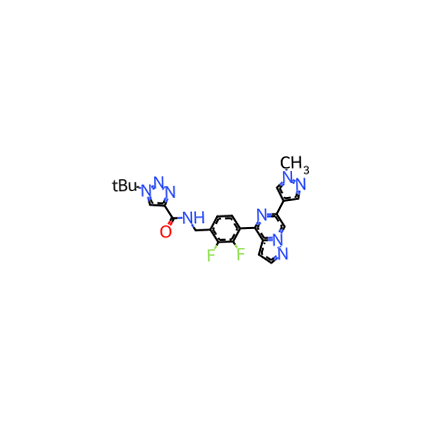 Cn1cc(-c2cn3nccc3c(-c3ccc(CNC(=O)c4cn(C(C)(C)C)nn4)c(F)c3F)n2)cn1